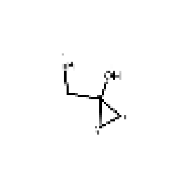 CCCCC1(O)[CH]C1